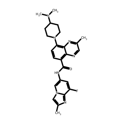 Cc1cnc2c(C(=O)Nc3cc(F)c4nc(C)cn4c3)ccc(N3CCC(N(C)C)CC3)c2n1